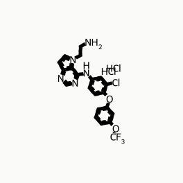 Cl.Cl.NCCn1ccc2ncnc(Nc3ccc(Oc4cccc(OC(F)(F)F)c4)c(Cl)c3)c21